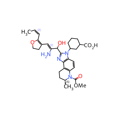 C/C=C\C1=C(/C=C(\N)C(O)c2nc3c4c(ccc3n2C2CCCC(C(=O)O)C2)N(C(=O)OC)[C@@H](C)CC4)CCO1